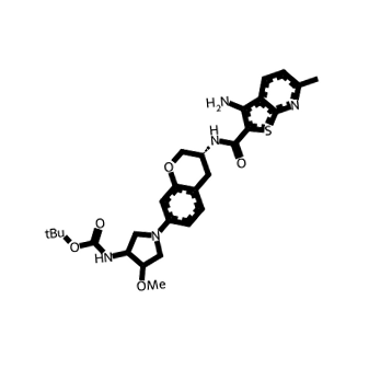 COC1CN(c2ccc3c(c2)OC[C@H](NC(=O)c2sc4nc(C)ccc4c2N)C3)CC1NC(=O)OC(C)(C)C